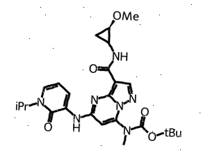 CO[C@@H]1CC1NC(=O)c1cnn2c(N(C)C(=O)OC(C)(C)C)cc(Nc3cccn(C(C)C)c3=O)nc12